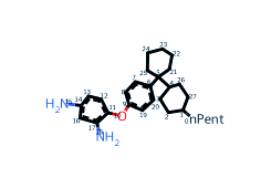 CCCCCC1CCC(C2(c3ccc(Oc4ccc(N)cc4N)cc3)CCCCC2)CC1